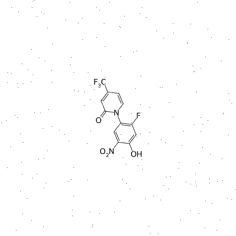 O=c1cc(C(F)(F)F)ccn1-c1cc([N+](=O)[O-])c(O)cc1F